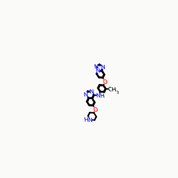 Cc1cc(Nc2ncnc3ccc(OC4CCNCC4)cc23)ccc1Oc1ccn2ncnc2c1